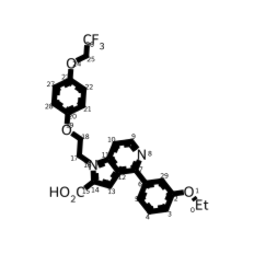 CCOc1cccc(-c2nccc3c2cc(C(=O)O)n3CCOc2ccc(OCC(F)(F)F)cc2)c1